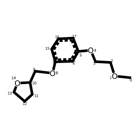 COCCOc1[c]c(OCC2CCCO2)ccc1